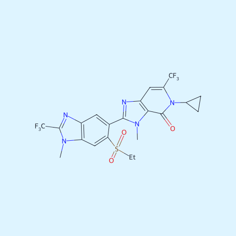 CCS(=O)(=O)c1cc2c(cc1-c1nc3cc(C(F)(F)F)n(C4CC4)c(=O)c3n1C)nc(C(F)(F)F)n2C